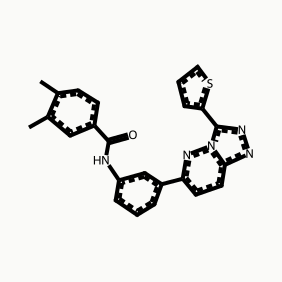 Cc1ccc(C(=O)Nc2cccc(-c3ccc4nnc(-c5cccs5)n4n3)c2)cc1C